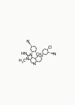 Cc1ccc(C#N)cc1-n1c(=N)n(C)c2cnc3ccc(-c4ccc(Cl)c(C#N)c4)cc3c21